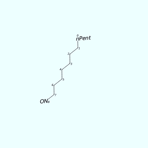 CCCCCCCCCCCCN=O